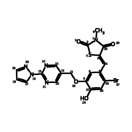 CN1C(=O)S/C(=C\c2cc(OCc3cnc(-n4cccn4)nc3)c(O)cc2Br)C1=O